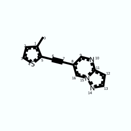 Cc1ccsc1C#Cc1cnc2ccnn2c1